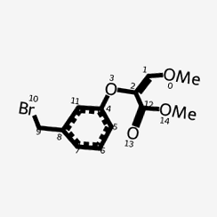 COC=C(Oc1cccc(CBr)c1)C(=O)OC